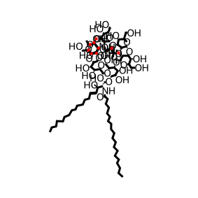 CCCCCCCCCCCCC/C=C/[C@@H](O)[C@H](CO[C@@H]1OC(CO)[C@@H](O[C@@H]2OC(CO)[C@H](O)[C@H](O[C@@H]3OC(CO)[C@@H](O)[C@H](O[C@@H]4OC(CO)[C@H](O)[C@H](O[C@@H]5OC(CO)[C@@H](O)[C@H](O[C@@H]6OC(CO)[C@H](O)[C@H](O)C6O[C@H]6OC(C)[C@@H](O)C(O)[C@@H]6O)C5NC(C)=O)C4O)C3NC(C)=O)C2O)[C@H](O)C1O)NC(=O)CCCCCCCCCCCCCCCCCCC